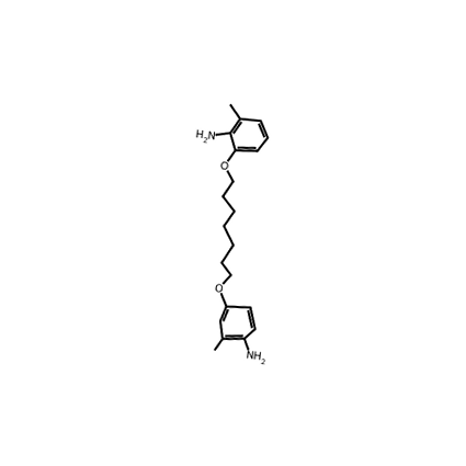 Cc1cc(OCCCCCCCOc2cccc(C)c2N)ccc1N